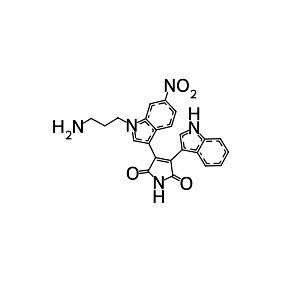 NCCCn1cc(C2=C(c3c[nH]c4ccccc34)C(=O)NC2=O)c2ccc([N+](=O)[O-])cc21